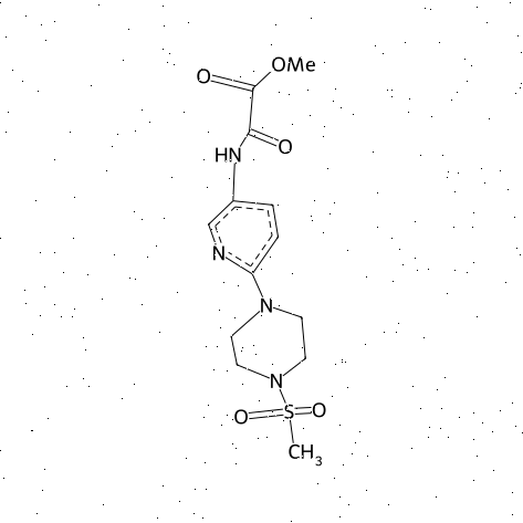 COC(=O)C(=O)Nc1ccc(N2CCN(S(C)(=O)=O)CC2)nc1